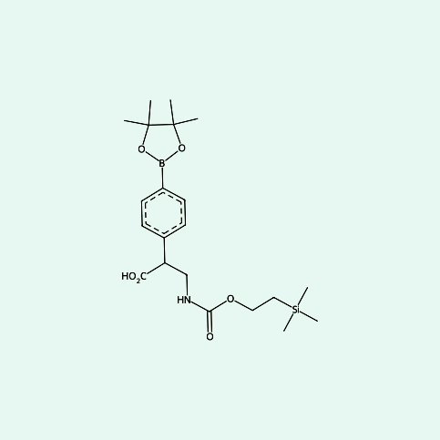 CC1(C)OB(c2ccc(C(CNC(=O)OCC[Si](C)(C)C)C(=O)O)cc2)OC1(C)C